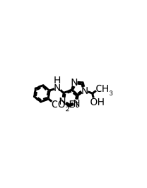 CCOC(=O)c1ccccc1Nc1ncnc2c1ncn2C(C)O